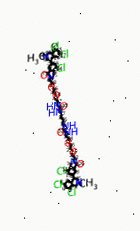 CN1Cc2c(Cl)cc(Cl)cc2C(c2cc(Cl)c3c(c2)C(=O)N(CCOCCOCCNC(=O)NCCCCNC(=O)NCCOCCOCCN2Cc4c(Cl)cc(C5CN(C)Cc6c(Cl)cc(Cl)cc65)cc4C2=O)C3)C1